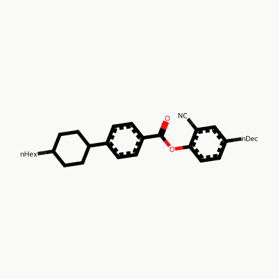 CCCCCCCCCCc1ccc(OC(=O)c2ccc(C3CCC(CCCCCC)CC3)cc2)c(C#N)c1